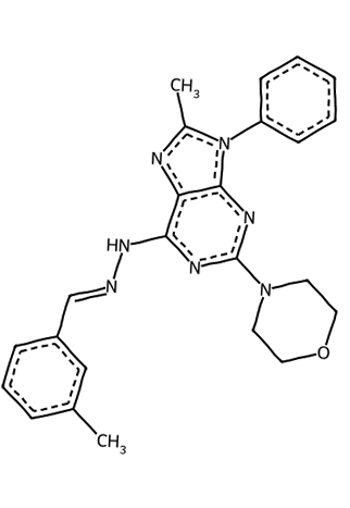 Cc1cccc(C=NNc2nc(N3CCOCC3)nc3c2nc(C)n3-c2ccccc2)c1